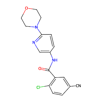 N#Cc1ccc(Cl)c(C(=O)Nc2ccc(N3CCOCC3)nc2)c1